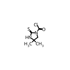 CC1(C)CN(C(=O)Cl)C(=S)N1